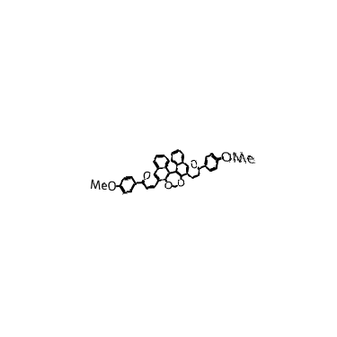 COc1ccc(C(=O)/C=C\c2cc3ccccc3c3c2OCOc2c(/C=C\C(=O)c4ccc(OC)cc4)cc4ccccc4c2-3)cc1